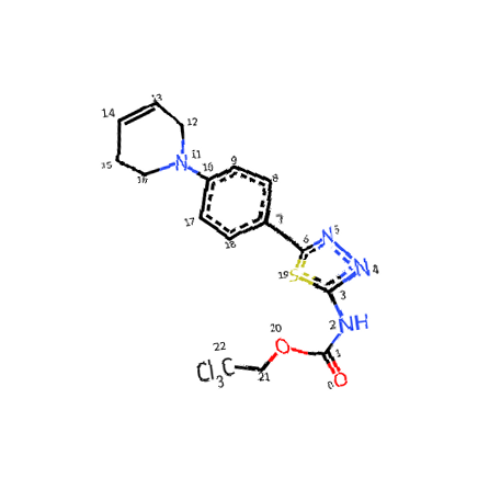 O=C(Nc1nnc(-c2ccc(N3CC=CCC3)cc2)s1)OCC(Cl)(Cl)Cl